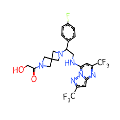 O=C(CO)N1CC2(C1)CN(C(CNc1cc(C(F)(F)F)nc3cc(C(F)(F)F)nn13)c1ccc(F)cc1)C2